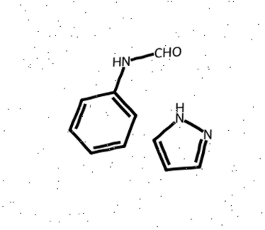 O=CNc1ccccc1.c1cn[nH]c1